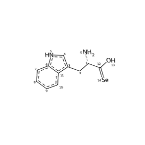 N[C@@H](Cc1c[nH]c2ccccc12)C(O)=[Se]